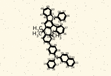 CC1(C)C2=CC=C(c3ccc(N(c4ccccc4)c4ccc5ccccc5c4)cc3)CC2(C)n2c3ccccc3c3c4c(cc1c32)c1ccccc1n4-c1ccccc1